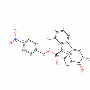 C=CC1C=C2c3cccc(C)c3[C@H](C(=O)OCc3ccc([N+](=O)[O-])cc3)[C@@]2(CC)CC1=O